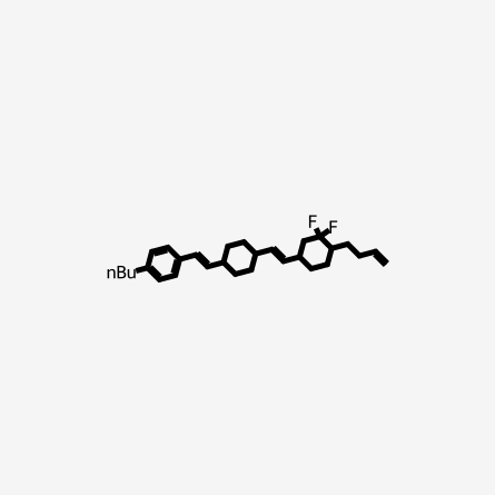 C=CCCC1CCC(/C=C/C2CCC(/C=C/c3ccc(CCCC)cc3)CC2)CC1(F)F